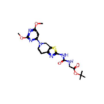 COc1cc(N2CCc3nc(NC(=O)NCC(=O)OC(C)(C)C)sc3C2)nc(OC)n1